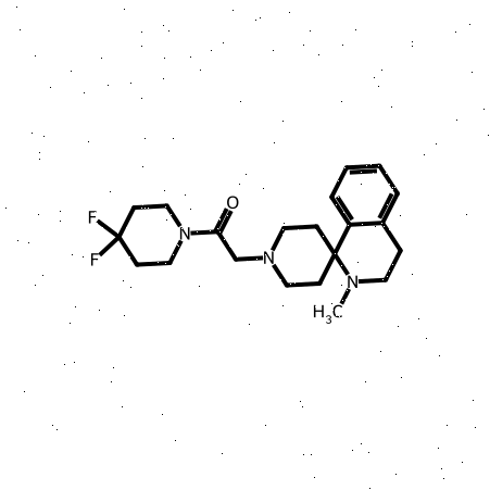 CN1CCc2ccccc2C12CCN(CC(=O)N1CCC(F)(F)CC1)CC2